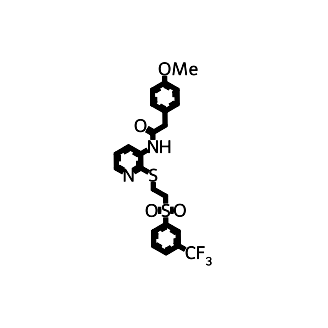 COc1ccc(CC(=O)Nc2cccnc2SCCS(=O)(=O)c2cccc(C(F)(F)F)c2)cc1